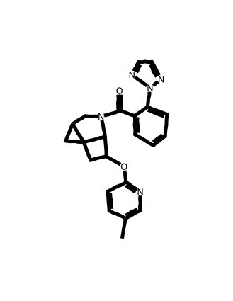 Cc1ccc(OC2CC34CC3CN(C(=O)c3ccccc3-n3nccn3)C24)nc1